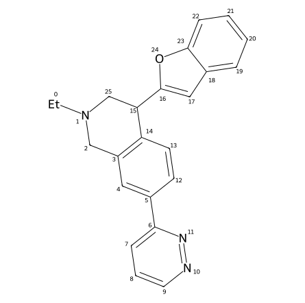 CCN1Cc2cc(-c3cccnn3)ccc2C(c2cc3ccccc3o2)C1